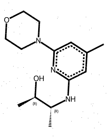 Cc1cc(N[C@H](C)[C@@H](C)O)nc(N2CCOCC2)c1